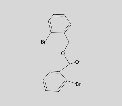 [O]C(OCc1ccccc1Br)c1ccccc1Br